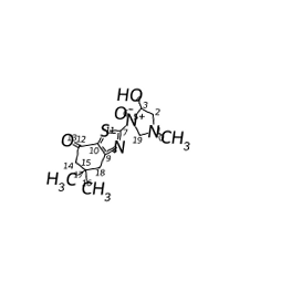 CN1CC(O)[N+]([O-])(c2nc3c(s2)C(=O)CC(C)(C)C3)C1